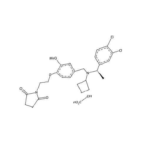 COc1cc(CN(C2CCC2)[C@H](C)c2ccc(Cl)c(Cl)c2)ccc1OCCN1C(=O)CCC1=O.O=C(O)O